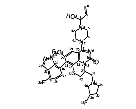 C=CC(O)N1CCN(c2nc(=O)n3c4c(c(-c5ccc(F)c6cnn(C)c56)c(C(F)(F)F)cc24)SCC3CN2CCC(F)C2)CC1